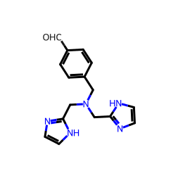 O=Cc1ccc(CN(Cc2ncc[nH]2)Cc2ncc[nH]2)cc1